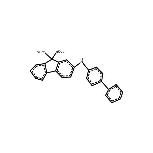 CCCCCCCCC1(CCCCCCCC)c2ccccc2-c2ccc(Nc3ccc(-c4ccccc4)cc3)cc21